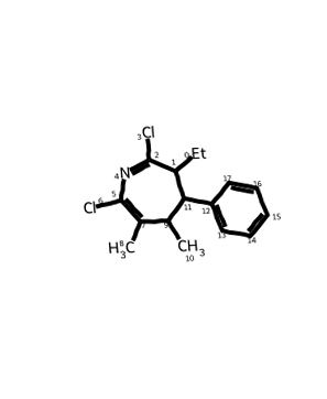 CCC1C(Cl)=NC(Cl)=C(C)C(C)C1c1ccccc1